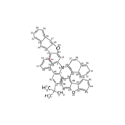 CC(C)(C)c1ccc(N(c2ccc3c(c2)oc2cc4ccccc4cc23)c2ccc3ccccc3c2-c2cccc3oc4ccccc4c23)c(-c2ccccc2)c1